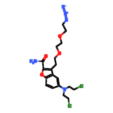 [N-]=[N+]=NCCOCCOCCc1c(C(N)=O)oc2ccc(N(CCCl)CCCl)cc12